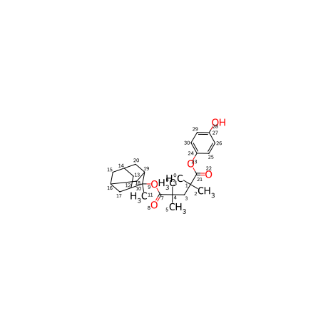 CC(C)(CC(C)(C)C(=O)OC1(C)C2CC3CC(C2)CC1C3)C(=O)Oc1ccc(O)cc1